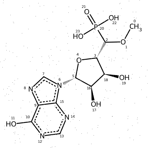 COC([C@H]1O[C@@H](n2cnc3c(O)ncnc32)[C@H](O)[C@@H]1O)P(=O)(O)O